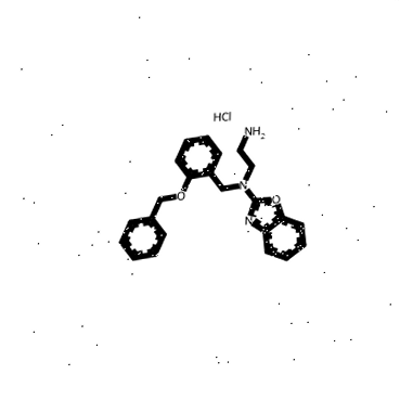 Cl.NCCN(Cc1ccccc1OCc1ccccc1)c1nc2ccccc2o1